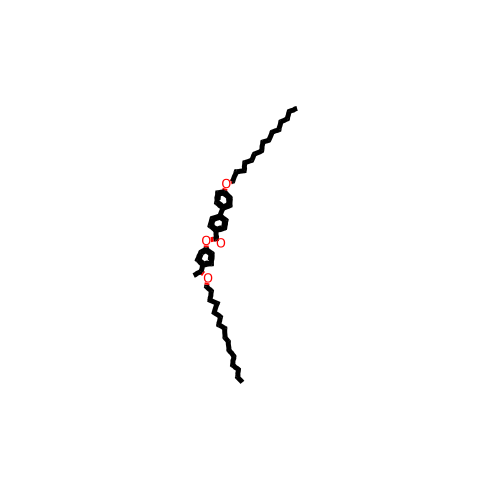 CCCCCCCCCCCCCCCCOC(C)c1ccc(OC(=O)c2ccc(-c3ccc(OCCCCCCCCCCCCCCC)cc3)cc2)cc1